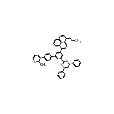 C=C/C=c1/ccc2cccc3c(-c4cc(-c5ccc(-c6cccnc6C)cc5)cc(-c5nc(-c6ccccc6)cc(-c6ccccc6)n5)c4)ccc1c23